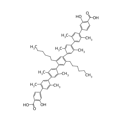 CCCCCCc1cc(-c2cc(C)c(-c3cc(C)c(-c4ccc(C(=O)O)c(O)c4)cc3C)cc2C)c(CCCCCC)cc1-c1cc(C)c(-c2cc(C)c(-c3ccc(C(=O)O)c(O)c3)cc2C)cc1C